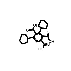 O=C(O)c1cc(C2CCCCC2)c(C(=O)O)c(C2CCCCC2)c1C(=O)O